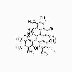 Cc1cc2c(Br)c(C)c3c4c(C)c(C)c(C)cc4c(-c4c(C)c(C)c(C)c(C)c4O)c(C)c3c2c(C)c1C